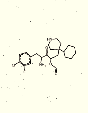 NC(Cc1ccc(Cl)c(Cl)c1)C(=O)C(CC1(C2CCCCC2)CCNCC1)OC=O